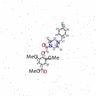 COC(=O)c1cc(OC)c(OCC(=O)N2C[C@@H](C)N(Cc3ccc(F)cc3)C[C@@H]2C)c(OC)c1